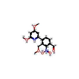 COCc1c(-c2cc(OC)cc(OC)n2)ccc(C=O)c1[N+](=O)[O-]